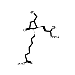 CCCCCC(O)C=C[C@@H]1C(CO)CC(=O)[C@H]1CCCCCCC(=O)OC